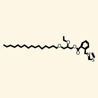 CCCCCCCCCCCCCCCCOCC(COC(=O)c1ccccc1C[n+]1ccsc1)OCC